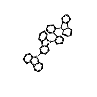 C1=CC2c3ccccc3N(c3ccccc3-c3ccccc3-n3c4ccccc4c4cc(-n5c6ccccc6c6ccccc65)ccc43)C2C=C1